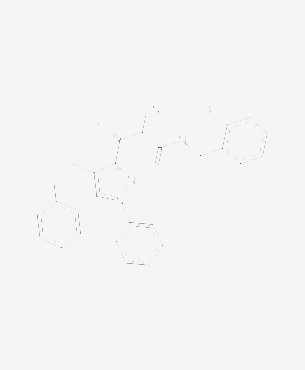 N#CC(C(=O)NCc1ccccc1Cl)C(=O)c1nn(-c2ccccc2)c2c1CSc1ccccc1-2